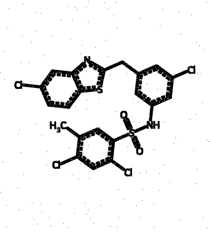 Cc1cc(S(=O)(=O)Nc2cc(Cl)cc(Cc3nc4cc(Cl)ccc4s3)c2)c(Cl)cc1Cl